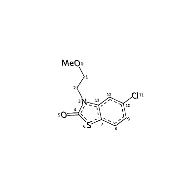 COCCn1c(=O)sc2ccc(Cl)cc21